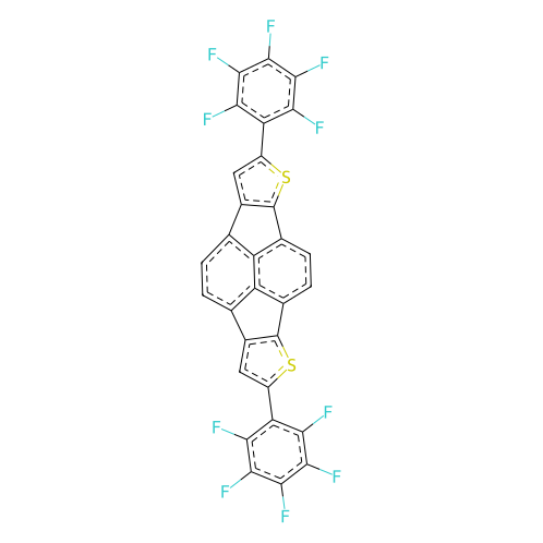 Fc1c(F)c(F)c(-c2cc3c(s2)-c2ccc4c5c(ccc-3c25)-c2cc(-c3c(F)c(F)c(F)c(F)c3F)sc2-4)c(F)c1F